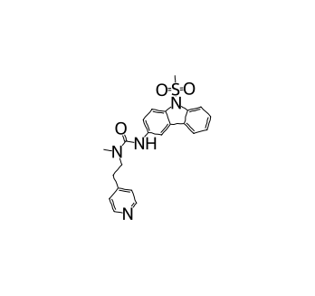 CN(CCc1ccncc1)C(=O)Nc1ccc2c(c1)c1ccccc1n2S(C)(=O)=O